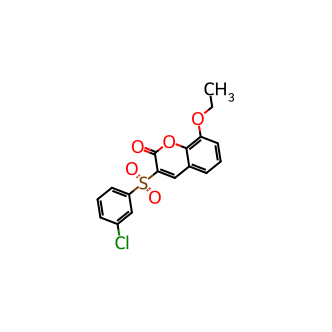 CCOc1cccc2cc(S(=O)(=O)c3cccc(Cl)c3)c(=O)oc12